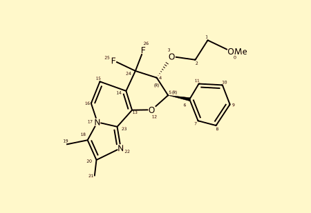 COCCO[C@@H]1[C@@H](c2ccccc2)Oc2c(ccn3c(C)c(C)nc23)C1(F)F